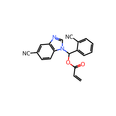 C=CC(=O)OC(c1ccccc1C#N)n1cnc2cc(C#N)ccc21